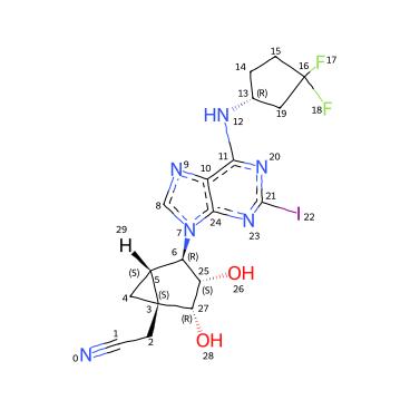 N#CC[C@@]12C[C@@H]1[C@@H](n1cnc3c(N[C@@H]4CCC(F)(F)C4)nc(I)nc31)[C@H](O)[C@@H]2O